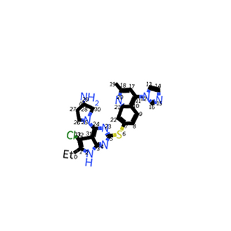 CCc1[nH]c2nc(Sc3ccc4c(-n5ccnc5)cc(C)nc4c3)nc(N3CC[C@@H](N)C3)c2c1Cl